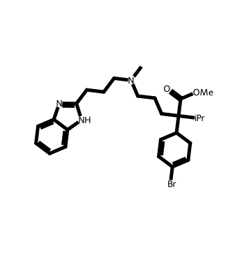 COC(=O)C(CCCN(C)CCCc1nc2ccccc2[nH]1)(C(C)C)C1C=CC(Br)=CC1